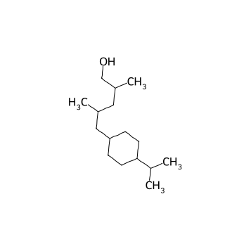 CC(CO)CC(C)CC1CCC(C(C)C)CC1